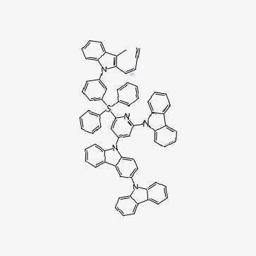 C#C/C=C\c1c(C)c2ccccc2n1-c1cccc(S(c2ccccc2)(c2ccccc2)c2cc(-n3c4ccccc4c4cc(-n5c6ccccc6c6ccccc65)ccc43)cc(-n3c4ccccc4c4ccccc43)n2)c1